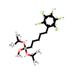 CO[Si](CCCCCc1c(F)c(F)c(F)c(F)c1F)(OC(C)C)OC(C)C